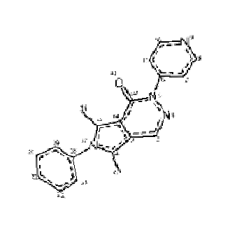 Cc1c2cnn(-c3ccncc3)c(=O)c2c(C)n1-c1ccccc1